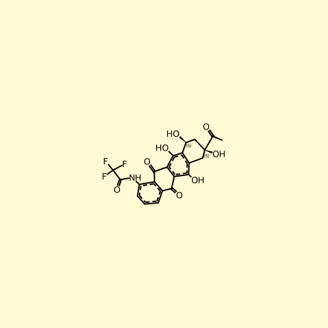 CC(=O)[C@]1(O)Cc2c(O)c3c(c(O)c2[C@@H](O)C1)C(=O)c1c(NC(=O)C(F)(F)F)cccc1C3=O